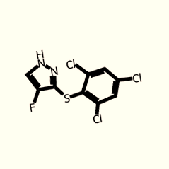 Fc1c[nH]nc1Sc1c(Cl)cc(Cl)cc1Cl